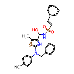 Cc1sc(N(Cc2ccccc2)c2ccc(C#N)cc2)nc1C(O)NS(=O)(=O)/C=C/c1ccccc1